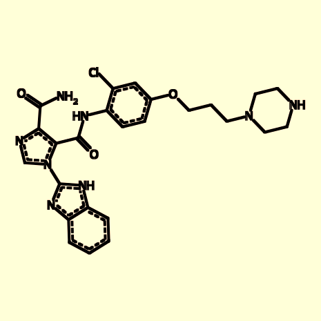 NC(=O)c1ncn(-c2nc3ccccc3[nH]2)c1C(=O)Nc1ccc(OCCCN2CCNCC2)cc1Cl